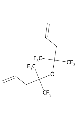 C=CCC(OC(CC=C)(C(F)(F)F)C(F)(F)F)(C(F)(F)F)C(F)(F)F